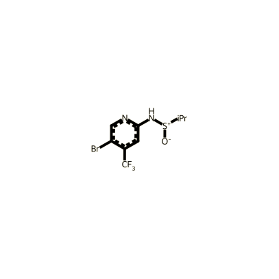 CC(C)[S+]([O-])Nc1cc(C(F)(F)F)c(Br)cn1